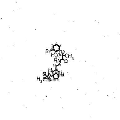 CC(C)(Oc1cccc(Br)c1)C(=O)NCCC1C[C@@H]2CC[C@@](NS(C)(=O)=O)(C1)C2